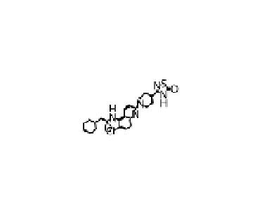 O=C(CC1CCCCC1)Nc1c(Cl)ccc2nc(N3CCC(c4nsc(=O)[nH]4)CC3)ccc12